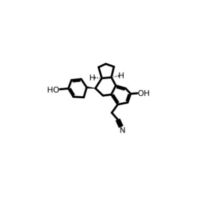 N#CCc1cc(O)cc2c1C[C@@H](C1C=CC(O)=CC1)[C@H]1CCC[C@@H]21